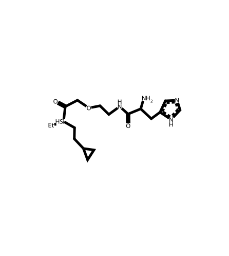 CC[SiH](CCC1CC1)C(=O)COCCNC(=O)C(N)Cc1cnc[nH]1